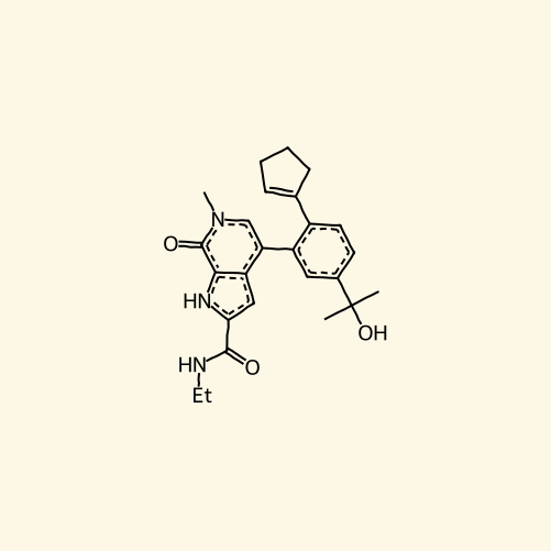 CCNC(=O)c1cc2c(-c3cc(C(C)(C)O)ccc3C3=CCCC3)cn(C)c(=O)c2[nH]1